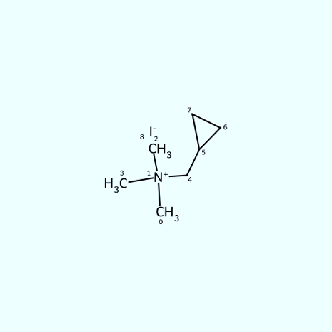 C[N+](C)(C)CC1CC1.[I-]